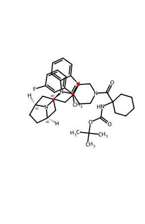 Cc1nc2ccccc2n1[C@H]1C[C@H]2CC[C@@H](C1)N2CCC1(c2cccc(F)c2)CCN(C(=O)C2(NC(=O)OC(C)(C)C)CCCCC2)CC1